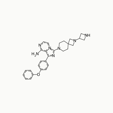 Nc1nccn2c(N3CCC4(CC3)CN(C3CNC3)C4)nc(-c3ccc(Oc4ccccc4)cc3)c12